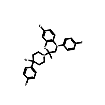 CC1(N2CCC(O)(c3ccc(F)cc3)CC2)CN(c2ccc(F)cc2)c2ccc(F)cc2O1